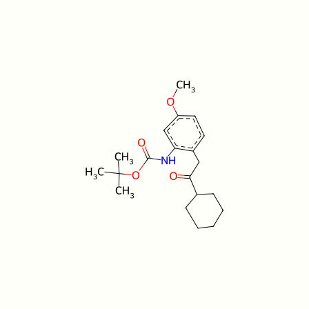 COc1ccc(CC(=O)C2CCCCC2)c(NC(=O)OC(C)(C)C)c1